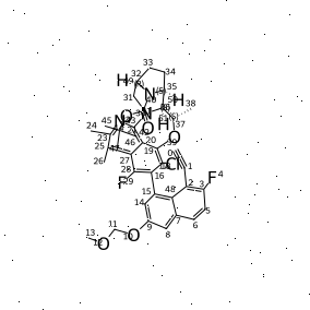 C#Cc1c(F)ccc2cc(OCOC)cc(-c3c(Cl)c4c5c(nc(C)c(C)c5c3F)N3C[C@H]5CC[C@@H]([C@H]3[C@H](C)O4)N5C(=O)OC(C)(C)C)c12